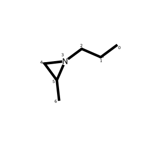 C[CH]CN1CC1C